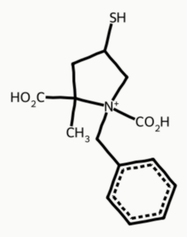 CC1(C(=O)O)CC(S)C[N+]1(Cc1ccccc1)C(=O)O